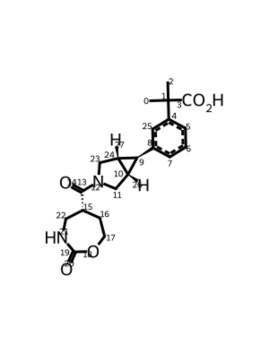 CC(C)(C(=O)O)c1cccc([C@H]2[C@@H]3CN(C(=O)[C@@H]4CCOC(=O)NC4)C[C@@H]32)c1